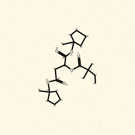 CCC(C)(C)C(=O)OC(CC(=O)OC1(C)CCCC1)C(=O)OC1(C)CCCC1